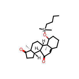 CCCC[Si](C)(C)OC1CCCC2=CC(=O)[C@H]3[C@@H]4CCC(=O)[C@@]4(C)CC[C@@H]3[C@]21C